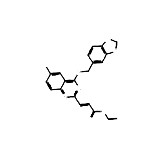 CCOC(=O)/C=C/c1nc(NCc2ccc3c(c2)OCO3)c2cc(Cl)ccc2n1